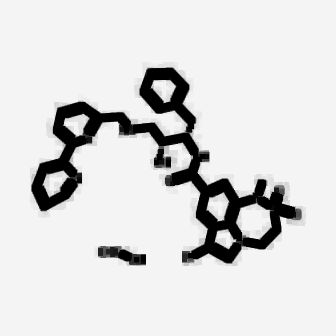 CCc1cn2c3c(cc(C(=O)N[C@@H](Cc4ccccc4)[C@H](O)CNCc4cccc(-c5ccccn5)n4)cc13)N(C)S(=O)(=O)CC2.O=CO